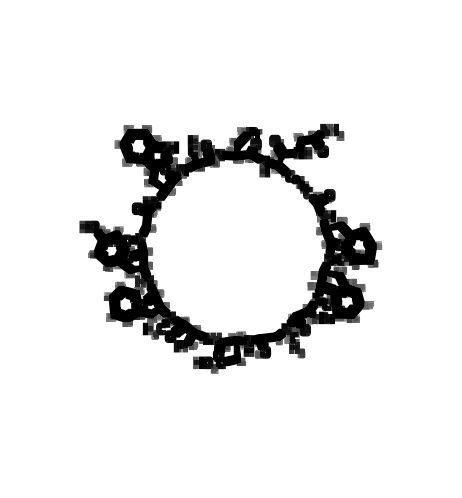 CCCC[C@H]1C(=O)N(C)CC(=O)N[C@@H](CC(=O)O)C(=O)NC(C(C)C)C(=O)N(C)[C@@H](Cc2ccccc2)C(=O)N[C@@H](Cc2ccc(O)cc2)C(=O)N(C)CC(=O)N[C@@H](Cc2c[nH]c3ccccc23)C(=O)N[C@@H](C)C(=O)N[C@@H](CC(C)C)C(=O)N[C@H](C(=O)NCC(N)=O)CSCC(=O)N[C@@H](Cc2ccccc2)C(=O)N(C)[C@@H](Cc2ccccc2)C(=O)N1C